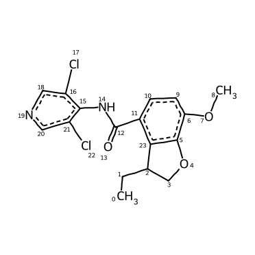 CCC1COc2c(OC)ccc(C(=O)Nc3c(Cl)cncc3Cl)c21